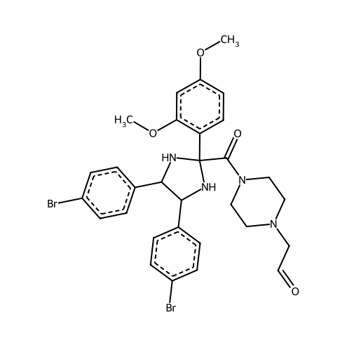 COc1ccc(C2(C(=O)N3CCN(CC=O)CC3)NC(c3ccc(Br)cc3)C(c3ccc(Br)cc3)N2)c(OC)c1